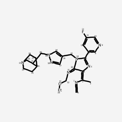 C=N/C(C)=C1/N=C(c2cncc(F)c2)N(Cc2cnn(CC3CN4CCC3CC4)c2)/C1=N/COCC